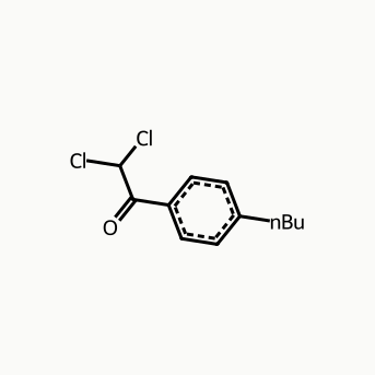 CCCCc1ccc(C(=O)C(Cl)Cl)cc1